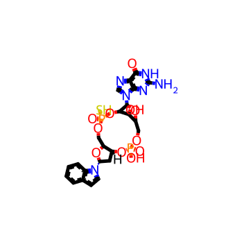 Nc1nc2c(ncn2C2OC3COP(=O)(O)O[C@@H]4C[C@H](n5ccc6ccccc65)OC4COP(=O)(S)OC2C3O)c(=O)[nH]1